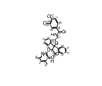 Cc1cc(C)nc(OC(C(=O)O)C(OCCNC(=O)c2ccc(Cl)c(Cl)c2)(c2ccccc2)c2ccccc2)n1